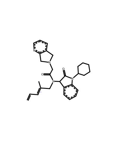 C=C/C=C(\C)CN(C(=O)CN1Cc2cccnc2C1)C1C(=O)N(C2CCCCC2)c2ccccc21